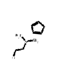 C1=CCC=C1.[Li][CH2]CN(C)C